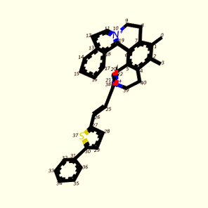 Cc1c(C)c2c(c3c1CC[n+]1ccc4ccccc4c1-3)-c1cccc(/C=C/c3ccc(-c4ccccc4)s3)[n+]1CC2